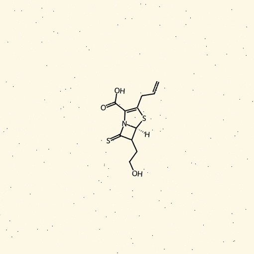 C=CCC1=C(C(=O)O)N2C(=S)C(CCO)[C@@H]2S1